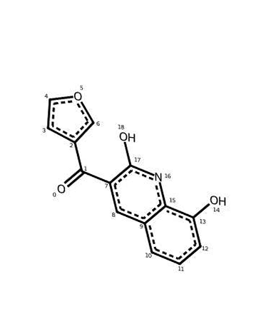 O=C(c1ccoc1)c1cc2cccc(O)c2nc1O